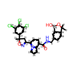 CC1(C)OB(O)c2cc(CNC(=O)c3ccc(C4=NOC(C)(c5cc(Cl)c(Cl)c(Cl)c5)C4)n4cccc34)ccc21